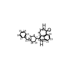 O=C1NCCc2c(C3CCN(Cc4ccccc4)CC3)[nH]c3cccc1c23